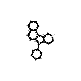 c1ccc(-n2c3ccpcc3c3c4ccccc4ccc32)cc1